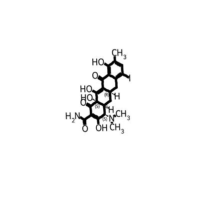 Cc1cc(I)c2c(c1O)C(=O)C1=C(O)[C@]3(O)C(=O)C(C(N)=O)=C(O)[C@@H](N(C)C)[C@@H]3C[C@@H]1C2